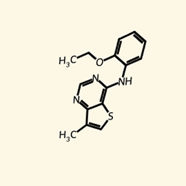 CCOc1ccccc1Nc1ncnc2c(C)csc12